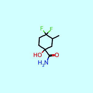 CC1CC(O)(C(N)=O)CCC1(F)F